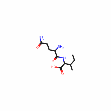 CCC(C)C(NC(=O)C(N)CCC(N)=O)C(=O)O